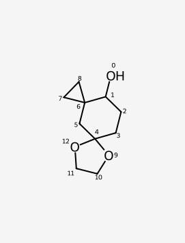 OC1CCC2(CC13CC3)OCCO2